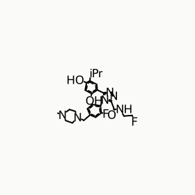 CC(C)c1cc(-c2nnc(C(=O)NCCF)n2-c2ccc(CN3CCN(C)CC3)cc2F)c(O)cc1O